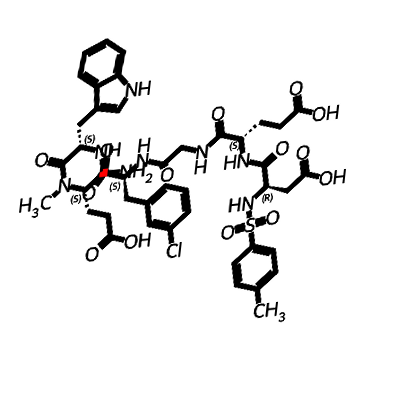 Cc1ccc(S(=O)(=O)N[C@H](CC(=O)O)C(=O)N[C@@H](CCC(=O)O)C(=O)NCC(=O)N[C@@H](Cc2cccc(Cl)c2)C(=O)N[C@@H](Cc2c[nH]c3ccccc23)C(=O)N(C)[C@@H](CCC(=O)O)C(N)=O)cc1